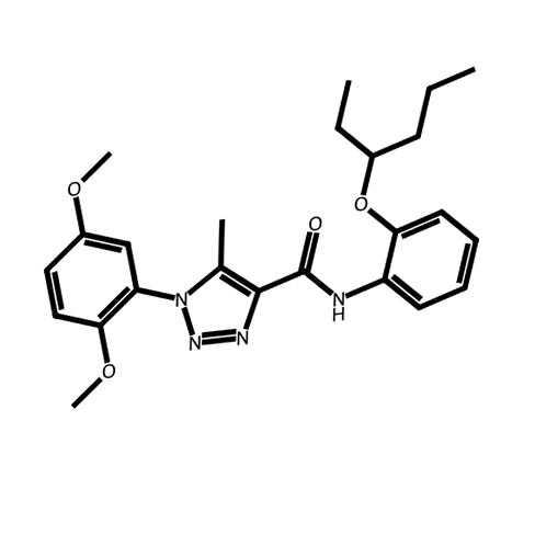 CCCC(CC)Oc1ccccc1NC(=O)c1nnn(-c2cc(OC)ccc2OC)c1C